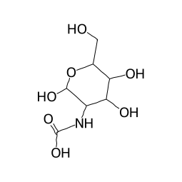 O=C(O)NC1C(O)OC(CO)C(O)C1O